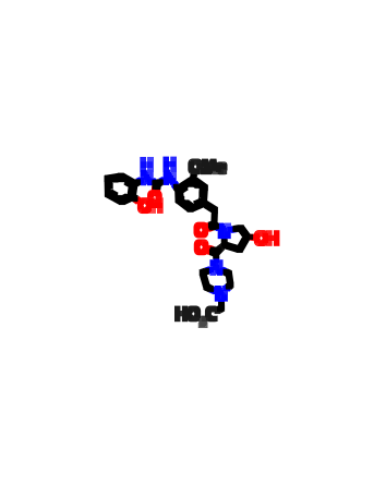 COc1cc(CC(=O)N2C[C@@H](O)C[C@H]2C(=O)N2CCN(CC(=O)O)CC2)ccc1NC(=O)Nc1ccccc1O